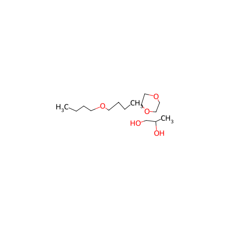 C1COCCO1.CC(O)CO.CCCCOCCCC